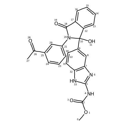 COC(=O)Nc1nc2cc(C3(O)c4ccccc4C(=O)N3c3cccc(C(C)=O)c3)ccc2[nH]1